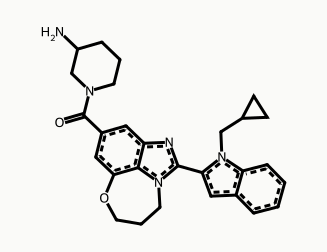 NC1CCCN(C(=O)c2cc3c4c(c2)nc(-c2cc5ccccc5n2CC2CC2)n4CCCO3)C1